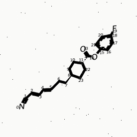 N#CC=CC=CCC[C@H]1CC[C@H](C(=O)Oc2ccc(F)cc2)CC1